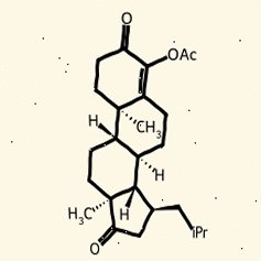 CC(=O)OC1=C2CC[C@H]3[C@@H]4[C@@H](CC(C)C)CC(=O)[C@@]4(C)CC[C@@H]3[C@@]2(C)CCC1=O